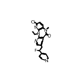 CCN1c2ncc(CC(F)c3ccncc3)cc2C(=O)N(C)c2ccc(Cl)nc21